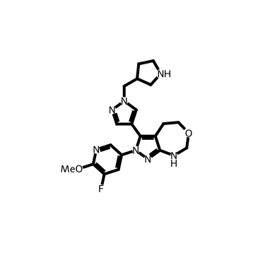 COc1ncc(-n2nc3c(c2-c2cnn(CC4CCNC4)c2)CCOCN3)cc1F